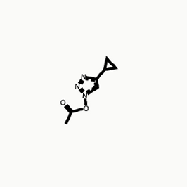 CC(=O)On1cc(C2CC2)nn1